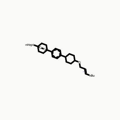 CCCC/C=C/COC1CCC(c2ccc(C34CCC(CCCCCCC)(CC3)CC4)cc2)CC1